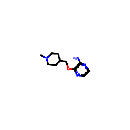 CN1CCC(COc2nccnc2N)CC1